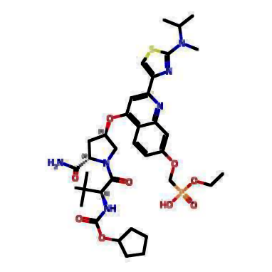 CCOP(=O)(O)COc1ccc2c(O[C@@H]3C[C@@H](C(N)=O)N(C(=O)[C@@H](NC(=O)OC4CCCC4)C(C)(C)C)C3)cc(-c3csc(N(C)C(C)C)n3)nc2c1